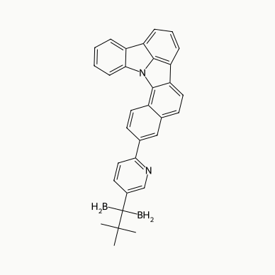 BC(B)(c1ccc(-c2ccc3c(ccc4c5cccc6c7ccccc7n(c34)c65)c2)nc1)C(C)(C)C